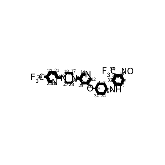 O=Nc1ccc(N[C@H]2CC[C@H](Oc3cncc(N4CCN(c5ccc(C(F)(F)F)cn5)CC4)c3)CC2)cc1C(F)(F)F